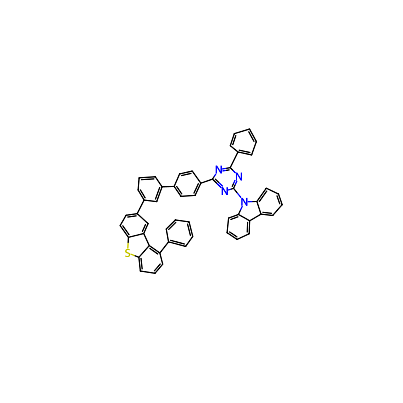 c1ccc(-c2nc(-c3ccc(-c4cccc(-c5ccc6sc7cccc(-c8ccccc8)c7c6c5)c4)cc3)nc(-n3c4ccccc4c4ccccc43)n2)cc1